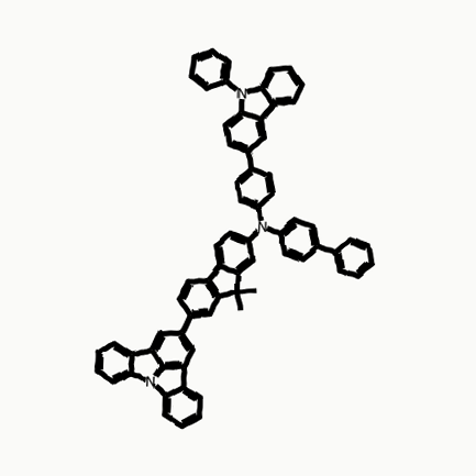 CC1(C)c2cc(-c3cc4c5ccccc5n5c6ccccc6c(c3)c45)ccc2-c2ccc(N(c3ccc(-c4ccccc4)cc3)c3ccc(-c4ccc5c(c4)c4ccccc4n5-c4ccccc4)cc3)cc21